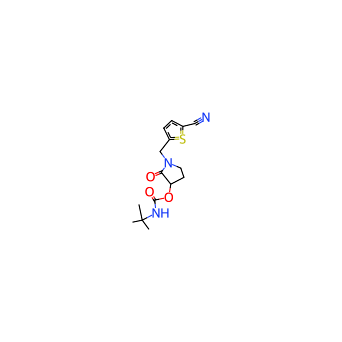 CC(C)(C)NC(=O)OC1CCN(Cc2ccc(C#N)s2)C1=O